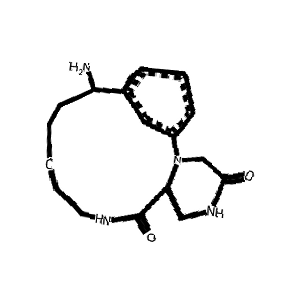 NC1CCCCCNC(=O)C2CNC(=O)CN2c2cccc1c2